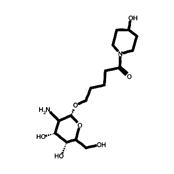 NC1[C@H](OCCCCC(=O)N2CCC(O)CC2)OC(CO)[C@H](O)[C@@H]1O